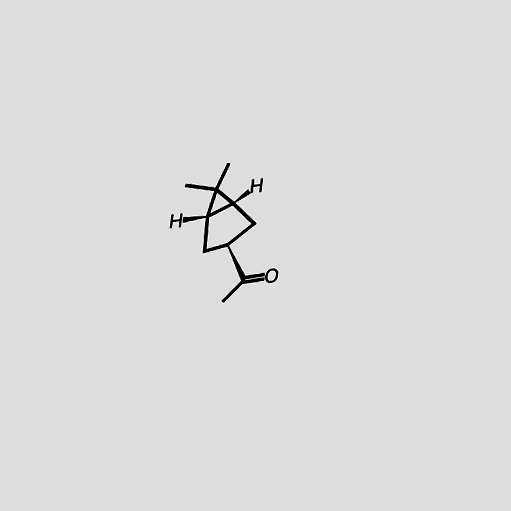 CC(=O)[C@@H]1C[C@@H]2[C@H](C1)C2(C)C